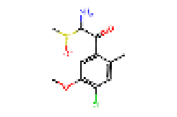 COc1cc(C(=O)C(N)[S+](C)[O-])c(C)cc1Cl